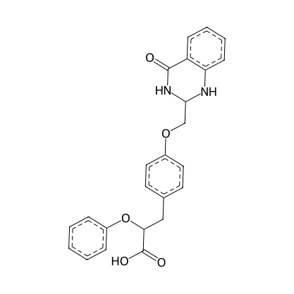 O=C1NC(COc2ccc(CC(Oc3ccccc3)C(=O)O)cc2)Nc2ccccc21